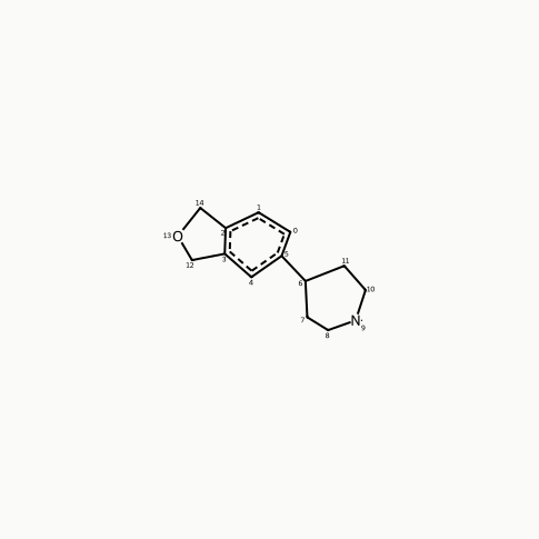 c1cc2c(cc1C1CC[N]CC1)COC2